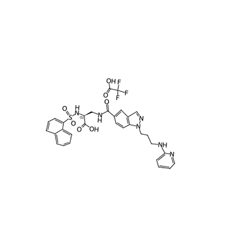 O=C(NC[C@H](NS(=O)(=O)c1cccc2ccccc12)C(=O)O)c1ccc2c(cnn2CCCNc2ccccn2)c1.O=C(O)C(F)(F)F